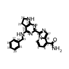 NC(=O)c1cccn2c(-c3nc4c(c(NCc5ccccc5)n3)CCN4)ncc12